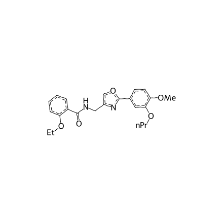 CCCOc1cc(-c2nc(CNC(=O)c3ccccc3OCC)co2)ccc1OC